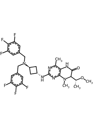 CO[C@H](C)C1C(=O)Nc2c(C)nc(N[C@H]3C[C@H](N(Cc4cc(F)c(F)c(F)c4)Cc4cc(F)c(F)c(F)c4)C3)nc2N1C